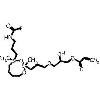 C=CC(=O)OCC(O)COCCC[Si]1(C)OCCCC[Si](C)(CCCNC(=O)F)O1